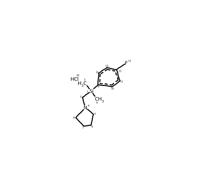 C[Si](C)(CN1CCCC1)c1ccc(F)cc1.Cl